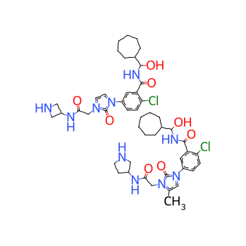 Cc1cn(-c2ccc(Cl)c(C(=O)NC(O)C3CCCCCC3)c2)c(=O)n1CC(=O)NC1CCNC1.O=C(Cn1ccn(-c2ccc(Cl)c(C(=O)NC(O)C3CCCCCC3)c2)c1=O)NC1CNC1